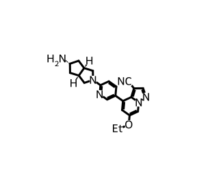 CCOc1cc(-c2ccc(N3C[C@H]4C[C@H](N)C[C@H]4C3)nc2)c2c(C#N)cnn2c1